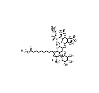 COC(=O)CCCCCCCCOC1O[C@H](CO)[C@@H](OC2O[C@H](COS(=O)(=O)[O-])[C@H](OS(=O)(=O)[O-])[C@H](OS(=O)(=O)[O-])[C@H]2O)[C@H](OC2O[C@@H](C)[C@@H](O)[C@@H](O)[C@@H]2O)[C@H]1NC(C)=O.[Na+].[Na+].[Na+]